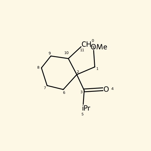 COCC1(C(=O)C(C)C)CCCCC1C